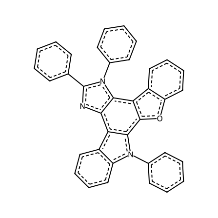 c1ccc(-c2nc3c4c5ccccc5n(-c5ccccc5)c4c4oc5ccccc5c4c3n2-c2ccccc2)cc1